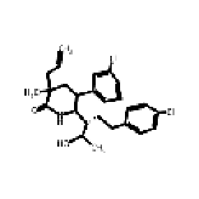 C=CCC1(C)CC(c2cccc(Cl)c2)C([C@H](CCc2ccc(Cl)cc2)C(C)O)NC1=O